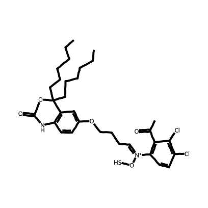 CCCCCCC1(CCCCCC)OC(=O)Nc2ccc(OCCCC=[N+](OS)c3ccc(Cl)c(Cl)c3C(C)=O)cc21